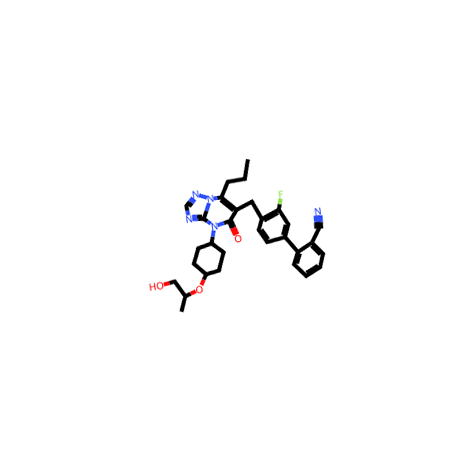 CCCc1c(Cc2ccc(-c3ccccc3C#N)cc2F)c(=O)n(C2CCC(OC(C)CO)CC2)c2ncnn12